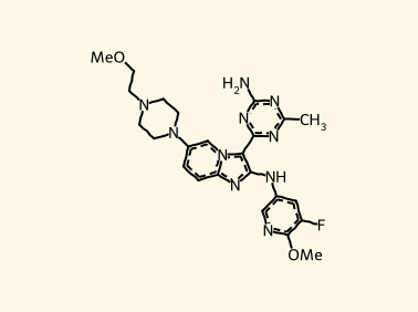 COCCN1CCN(c2ccc3nc(Nc4cnc(OC)c(F)c4)c(-c4nc(C)nc(N)n4)n3c2)CC1